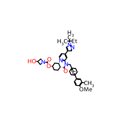 CCC(C)(C)n1cc(-c2ccnc(N(CC34CCC(c5ccc(OC)c(C)c5)(CC3)CC4)C(=O)[C@H]3CC[C@H](OC(=O)N4CC(O)C4)CC3)c2)cn1